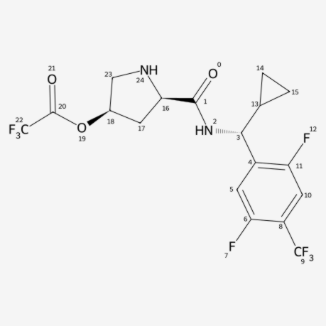 O=C(N[C@@H](c1cc(F)c(C(F)(F)F)cc1F)C1CC1)[C@H]1C[C@@H](OC(=O)C(F)(F)F)CN1